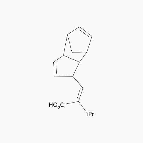 CC(C)C(=CC1C=CC2C3C=CC(C3)C12)C(=O)O